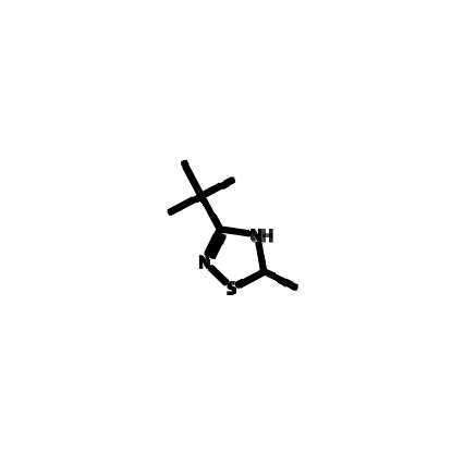 CC1NC(C(C)(C)C)=NS1